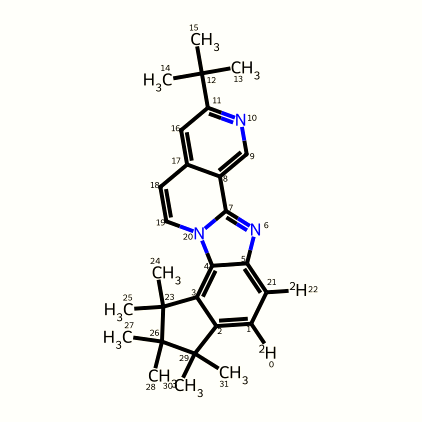 [2H]c1c2c(c3c(nc4c5cnc(C(C)(C)C)cc5ccn43)c1[2H])C(C)(C)C(C)(C)C2(C)C